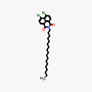 CCCCCCCCCCCCCCCCCCN1C(=O)c2ccc(Br)c3c(Br)ccc(c23)C1=O